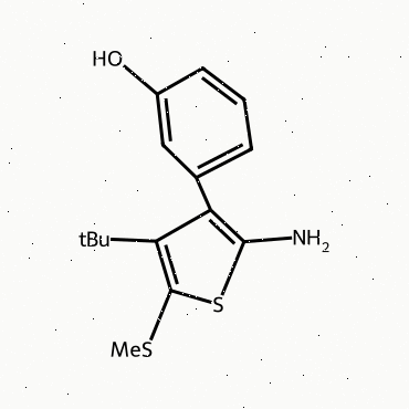 CSc1sc(N)c(-c2cccc(O)c2)c1C(C)(C)C